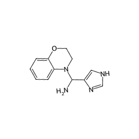 NC(c1c[nH]cn1)N1CCOc2ccccc21